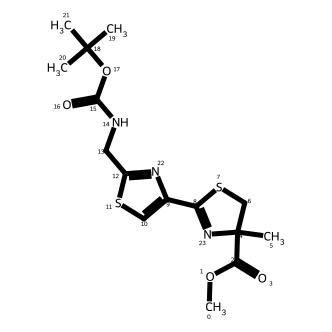 COC(=O)C1(C)CSC(c2csc(CNC(=O)OC(C)(C)C)n2)=N1